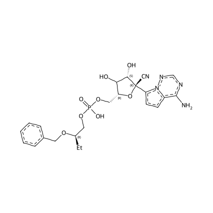 CC[C@H](COP(=O)(O)OC[C@H]1O[C@@](C#N)(c2ccc3c(N)ncnn23)[C@@H](O)C1O)OCc1ccccc1